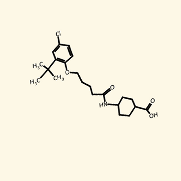 CC(C)(C)c1cc(Cl)ccc1OCCCCC(=O)NC1CCC(C(=O)O)CC1